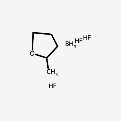 B.CC1CCCO1.F.F.F